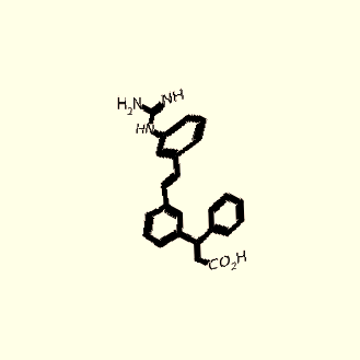 N=C(N)Nc1cccc(/C=C/c2cccc(C(CC(=O)O)c3ccccc3)c2)c1